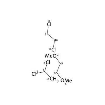 CC(Cl)Cl.COCCOC.ClCCCl